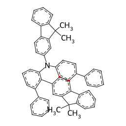 CC1(C)c2ccccc2-c2ccc(-c3c(-c4ccccc4)cccc3N(c3ccc(-c4ccccc4)cc3)c3ccc4c(c3)C(C)(C)c3ccccc3-4)cc21